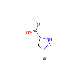 COC(=O)C1CC(Br)=NN1